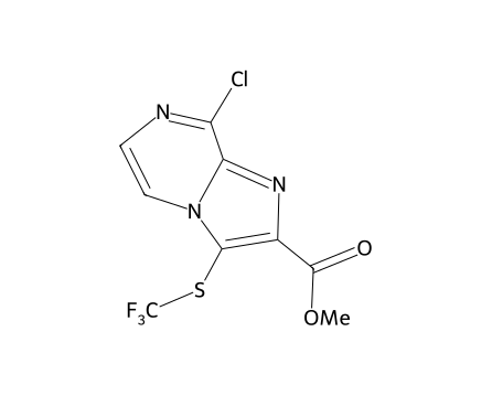 COC(=O)c1nc2c(Cl)nccn2c1SC(F)(F)F